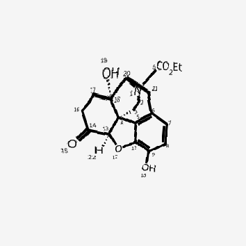 CCOC(=O)N1CC[C@]23c4c5ccc(O)c4O[C@H]2C(=O)CC[C@@]3(O)C1C5